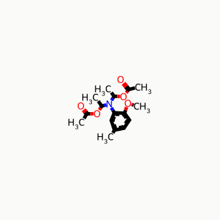 COc1ccc(C)cc1N(C(C)OC(C)=O)C(C)OC(C)=O